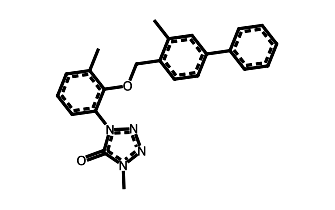 Cc1cc(-c2ccccc2)ccc1COc1c(C)cccc1-n1nnn(C)c1=O